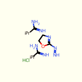 CC(C)C(=N)N.CC(C)C(=N)N.Cl.N=NC1=NCCO1